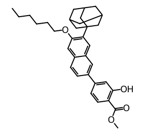 CCCCCCOc1cc2ccc(-c3ccc(C(=O)OC)c(O)c3)cc2cc1C12CC3CC(CC(C3)C1)C2